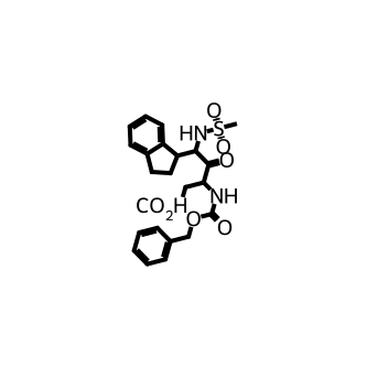 CS(=O)(=O)NC(C(=O)C(CC(=O)O)NC(=O)OCc1ccccc1)C1CCc2ccccc21